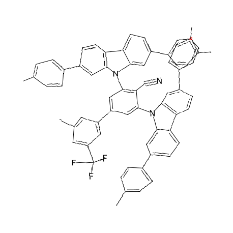 Cc1ccc(-c2ccc3c4ccc(-c5ccc(C)cc5)cc4n(-c4cc(-c5cc(C)cc(C(F)(F)F)c5)cc(-n5c6cc(-c7ccc(C)cc7)ccc6c6ccc(-c7ccc(C)cc7)cc65)c4C#N)c3c2)cc1